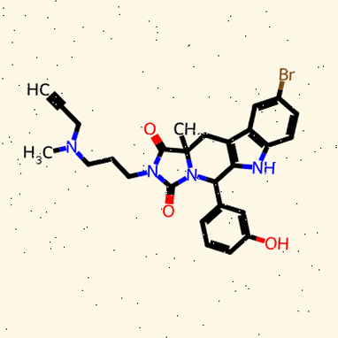 C#CCN(C)CCCN1C(=O)N2C(c3cccc(O)c3)c3[nH]c4ccc(Br)cc4c3CC2(C)C1=O